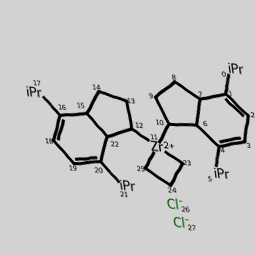 CC(C)C1=CC=C(C(C)C)C2C1CC[CH]2[Zr+2]1([CH]2CCC3C(C(C)C)=CC=C(C(C)C)C32)[CH2]C[CH2]1.[Cl-].[Cl-]